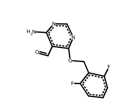 Nc1ncnc(OCc2c(F)cccc2F)c1C=O